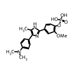 COc1cc(-c2nc(-c3ccc(N(C)C)cc3)c(C)[nH]2)ccc1OP(=O)(O)O